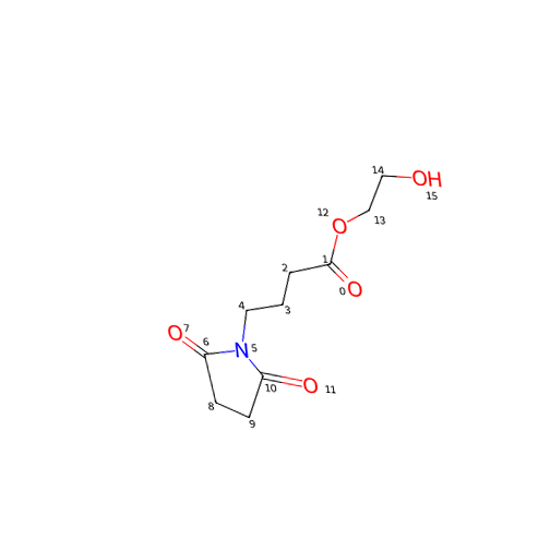 O=C(CCCN1C(=O)CCC1=O)OCCO